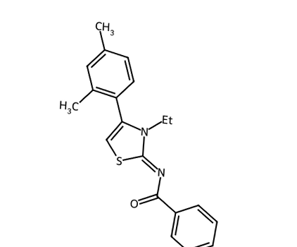 CCn1c(-c2ccc(C)cc2C)csc1=NC(=O)c1ccccc1